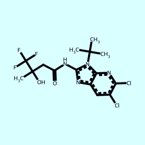 CC(C)(C)n1c(NC(=O)CC(C)(O)C(F)(F)F)nc2cc(Cl)c(Cl)nc21